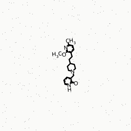 COc1nc(C)ccc1CCC1CCN(Cc2ccc[nH]c2=O)CC1